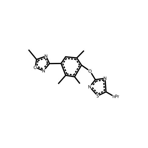 CCCc1nc(Oc2c(C)cc(-c3noc(C)n3)c(C)c2C)ns1